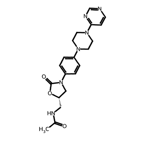 CC(=O)NC[C@H]1CN(c2ccc(N3CCN(c4ccncn4)CC3)cc2)C(=O)O1